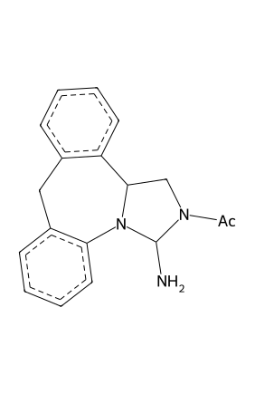 CC(=O)N1CC2c3ccccc3Cc3ccccc3N2C1N